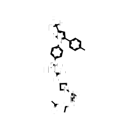 CC(=O)OC(C)On1on1N1CC(OC(=O)NS(=O)(=O)c2ccc(-n3nc(C(F)(F)F)cc3-c3ccc(C)cc3)cc2)C1